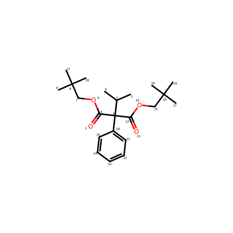 CC(C)C(C(=O)OCC(C)(C)C)(C(=O)OCC(C)(C)C)c1ccccc1